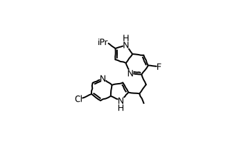 CC(C)C1=CC2N=C(CC(C)C3=CC4N=CC(Cl)=CC4N3)C(F)=CC2N1